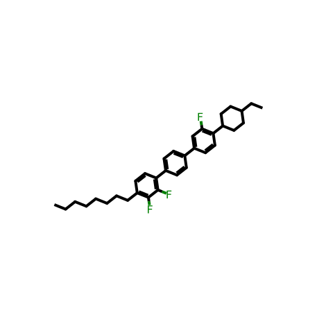 CCCCCCCCc1ccc(-c2ccc(-c3ccc(C4CCC(CC)CC4)c(F)c3)cc2)c(F)c1F